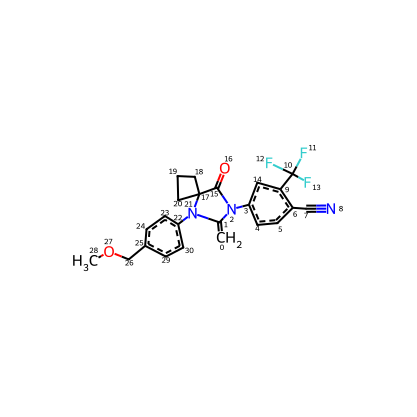 C=C1N(c2ccc(C#N)c(C(F)(F)F)c2)C(=O)C2(CCC2)N1c1ccc(COC)cc1